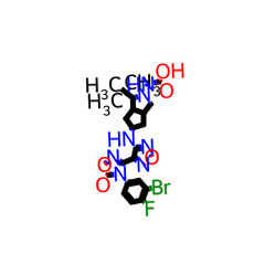 CC(C)(C)C1C2CC(Nc3nonc3-c3noc(=O)n3-c3ccc(F)c(Br)c3)CC2CN1NC(=O)O